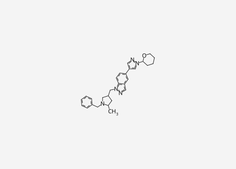 CC1CC(Cn2ncc3cc(-c4cnn(C5CCCCO5)c4)ccc32)CN1Cc1ccccc1